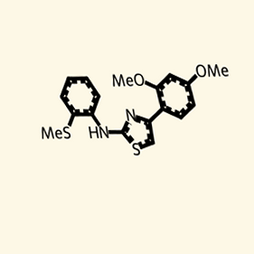 COc1ccc(-c2csc(Nc3ccccc3SC)n2)c(OC)c1